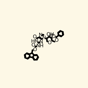 O=C(Nc1nc2c(ncn2C2COC3COC(c4ccccc4)O[C@@H]3C2O)c(=O)[nH]1)OCC1c2ccccc2-c2ccccc21